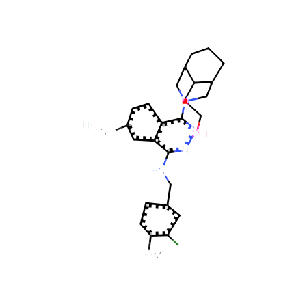 COc1ccc(CNc2nnc(N3CC4CCCC(C3)C4CCO)c3ccc(C#N)cc23)cc1Cl.Cl